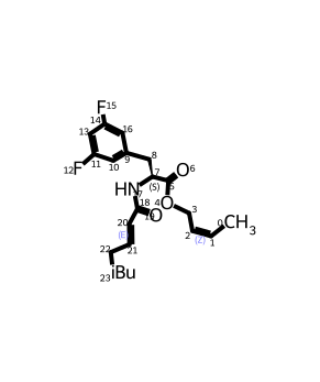 C/C=C\COC(=O)[C@H](Cc1cc(F)cc(F)c1)NC(=O)/C=C/CC(C)CC